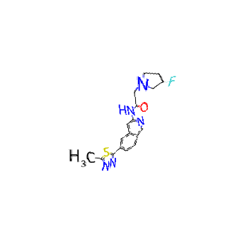 Cc1nnc(-c2ccc3cnc(NC(=O)CN4CC[C@H](F)C4)cc3c2)s1